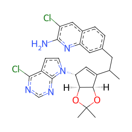 CC(Cc1ccc2cc(Cl)c(N)nc2c1)C1=C[C@@H](n2ccc3c(Cl)ncnc32)[C@@H]2OC(C)(C)O[C@H]12